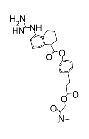 CN(C)C(=O)COC(=O)CCc1ccc(OC(=O)C2CCCc3c(NC(=N)N)cccc32)cc1